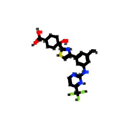 Cc1cc(Nc2nccc(C(F)(F)F)n2)cc(-c2csc([C@]3(O)CC[C@@H](C(=O)O)CC3)n2)c1